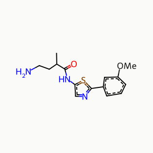 COc1cccc(-c2ncc(NC(=O)C(C)CCN)s2)c1